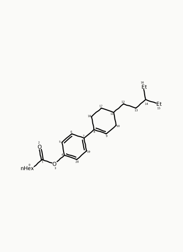 CCCCCCC(=O)Oc1ccc(C2=CCC(CCC(CC)CC)CC2)cc1